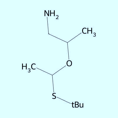 CC(CN)OC(C)SC(C)(C)C